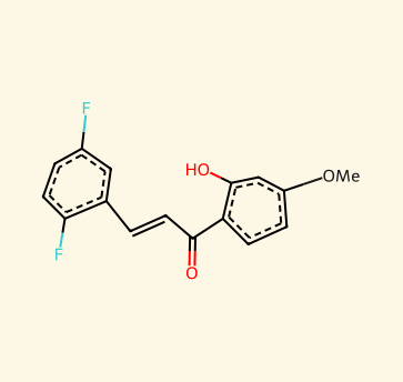 COc1ccc(C(=O)/C=C/c2cc(F)ccc2F)c(O)c1